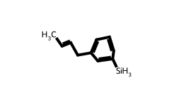 CC=CCc1cccc([SiH3])c1